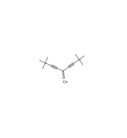 C[Si](C)(C)C#CC(=O)C#C[Si](C)(C)C.[Co]